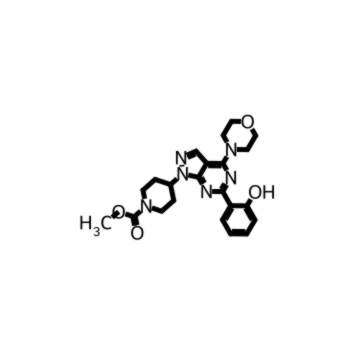 COC(=O)N1CCC(n2ncc3c(N4CCOCC4)nc(-c4ccccc4O)nc32)CC1